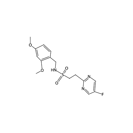 COc1ccc(CNS(=O)(=O)CCc2ncc(F)cn2)c(OC)c1